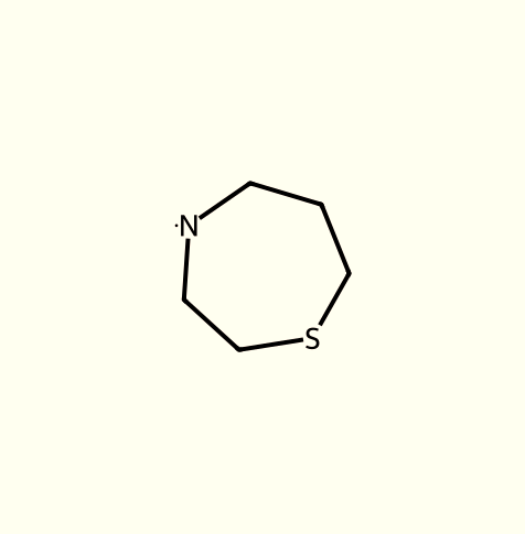 C1C[N]CCSC1